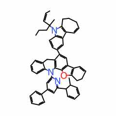 C/C=C\C(C)(CCC)n1c2c(c3cc(-c4cc5c6c(oc5c5c4Cc4ccccc4N5c4cc(-c5ccccc5)cc(C5C=CC=CC5C)n4)CCC=C6)ccc31)C=CCCC2